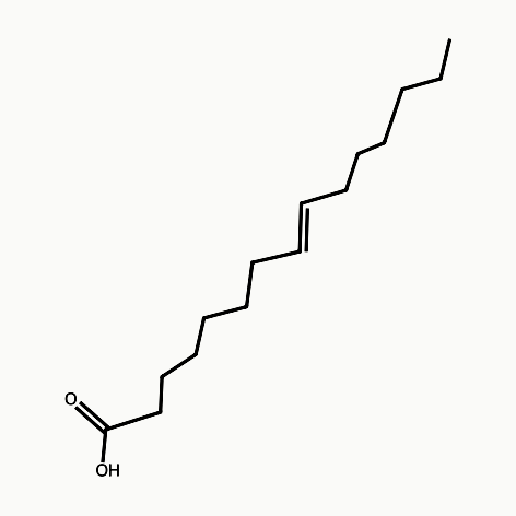 CCCCCCC=CCCCCCCC(=O)O